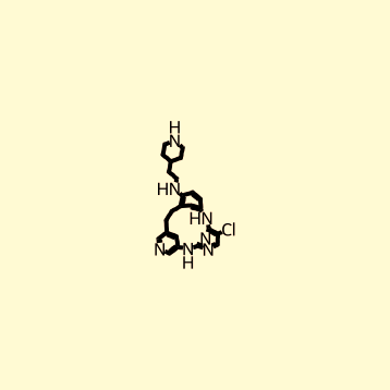 Clc1cnc2nc1Nc1ccc(NCCC3CCNCC3)c(c1)CCc1cncc(c1)N2